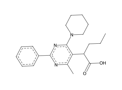 CCCC(C(=O)O)c1c(C)nc(-c2ccccc2)nc1N1CCCCC1